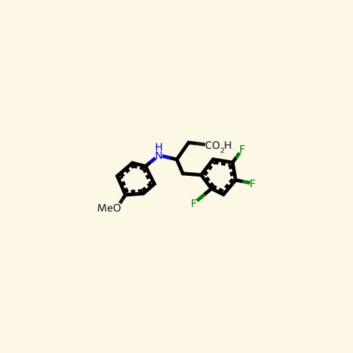 COc1ccc(NC(CC(=O)O)Cc2cc(F)c(F)cc2F)cc1